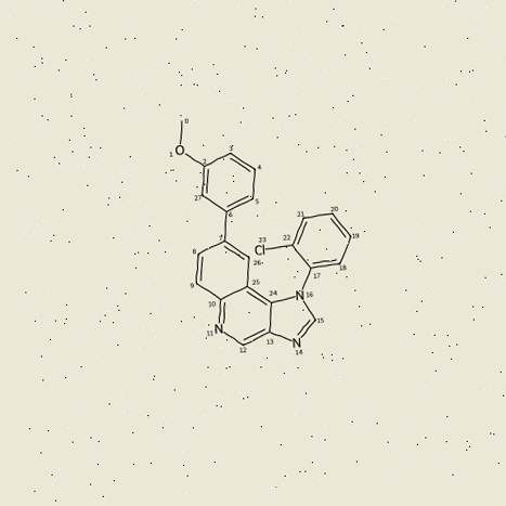 COc1cccc(-c2ccc3ncc4ncn(-c5ccccc5Cl)c4c3c2)c1